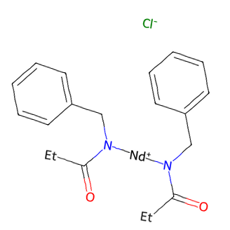 CCC(=O)[N](Cc1ccccc1)[Nd+][N](Cc1ccccc1)C(=O)CC.[Cl-]